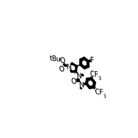 CN(C(=O)N(C)[C@H]1CN(C(=O)OC(C)(C)C)C[C@H]1c1ccc(F)cc1)c1cc(C(F)(F)F)cc(C(F)(F)F)c1